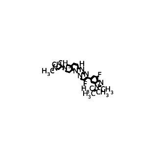 Cc1nc2c(F)cc(-c3nc(Nc4ccc5c(n4)CCN([C@H](C)CN(C)C)C5)ncc3F)cc2n1C(C)(C)C